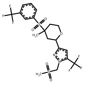 CC1(S(=O)(=O)c2cccc(C(F)(F)F)c2)CCOC(c2cc(C(F)(F)F)n(CS(C)(=O)=O)n2)C1